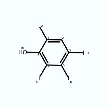 Cc1cc(I)c(I)c(I)c1O